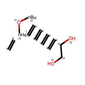 C=C.C=C.C=C.C=C.C=C.CCCCCCOCCCC.OCCO